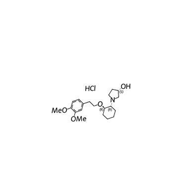 COc1ccc(CCO[C@@H]2CCCC[C@H]2N2CC[C@H](O)C2)cc1OC.Cl